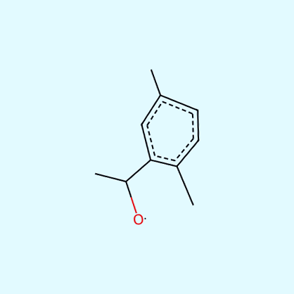 Cc1ccc(C)c(C(C)[O])c1